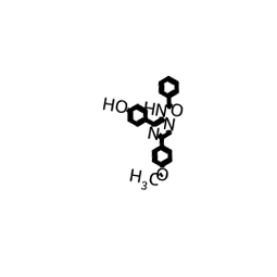 COc1ccc(-c2cnc(NC(=O)c3ccccc3)c(-c3ccc(O)cc3)n2)cc1